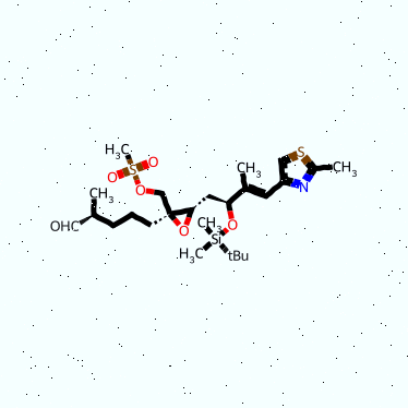 C/C(=C\c1csc(C)n1)[C@H](C[C@@H]1O[C@@]1(CCC[C@H](C)C=O)COS(C)(=O)=O)O[Si](C)(C)C(C)(C)C